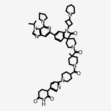 CC(C)n1cnc2cc(-c3ccc4c(c3)N(C3CC(N5CCCCC5)C3)C(=O)C43CCN(C(=O)C4(C)CCN(C(=O)C5CCN(c6ccc(C7CCC(=O)NC7=O)cn6)CC5)CC4)CC3)nc(N3CCCC3)c21